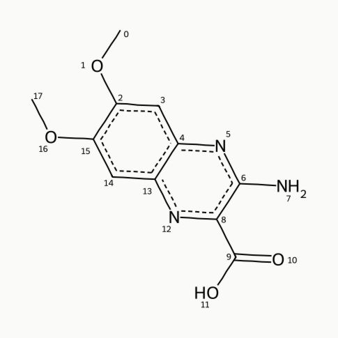 COc1cc2nc(N)c(C(=O)O)nc2cc1OC